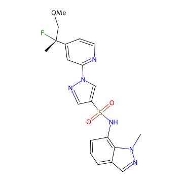 COC[C@@](C)(F)c1ccnc(-n2cc(S(=O)(=O)Nc3cccc4cnn(C)c34)cn2)c1